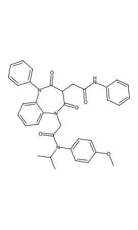 COc1ccc(N(C(=O)CN2C(=O)C(CC(=O)Nc3ccccc3)C(=O)N(c3ccccc3)c3ccccc32)C(C)C)cc1